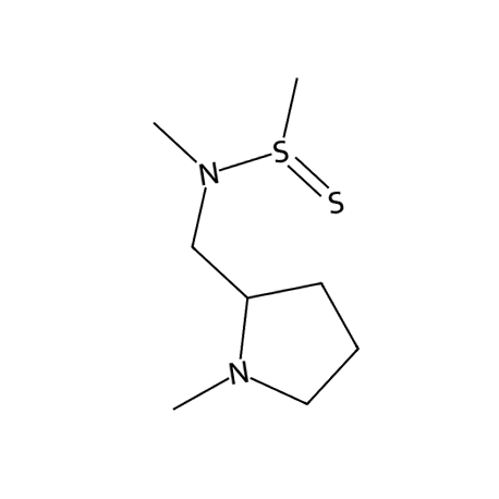 CN1CCCC1CN(C)S(C)=S